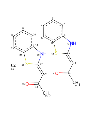 CC(=O)C=C1Nc2ccccc2S1.CC(=O)C=C1Nc2ccccc2S1.[Co]